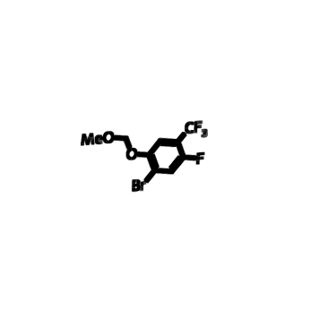 COCOc1cc(C(F)(F)F)c(F)cc1Br